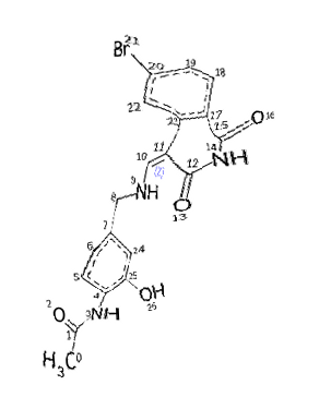 CC(=O)Nc1ccc(CN/C=C2\C(=O)NC(=O)c3ccc(Br)cc32)cc1O